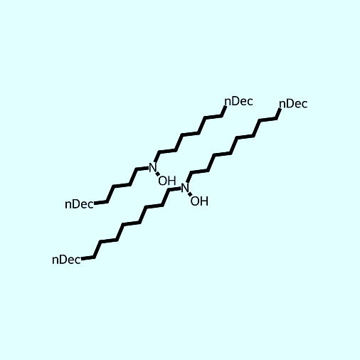 CCCCCCCCCCCCCCCCCCN(O)CCCCCCCCCCCCCCCCCC.CCCCCCCCCCCCCCCCN(O)CCCCCCCCCCCCCC